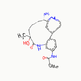 COC(=O)Nc1ccc2c(c1)NC(=O)C(C)(O)CCC[C@H](N)c1cc-2ccn1